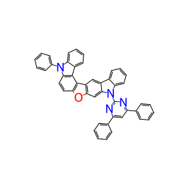 c1ccc(-c2cc(-c3ccccc3)nc(-n3c4ccccc4c4cc5c(cc43)oc3ccc4c(c6ccccc6n4-c4ccccc4)c35)n2)cc1